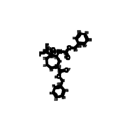 O=C(N[C@@H]1CN(C(=O)OCc2ccccc2)CCCC1(O)C(F)F)OCc1ccccc1